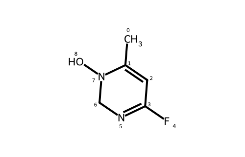 CC1=CC(F)=NCN1O